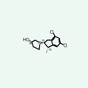 C[C@H]1c2cc(Cl)cc(Cl)c2C[C@@H]1N1CC[C@@H](O)C1